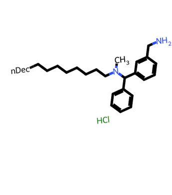 CCCCCCCCCCCCCCCCCCN(C)C(c1ccccc1)c1cccc(CN)c1.Cl